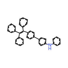 c1ccc(Nc2ccc(-c3ccc(C(=C(c4ccccc4)c4ccccc4)c4ccccc4)cc3)cc2)cc1